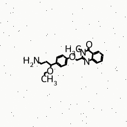 CCOC(CCN)c1ccc(OCc2nc3ccccc3c(=O)n2C)cc1